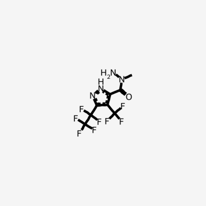 CN(N)C(=O)c1[nH]nc(C(F)(F)C(F)(F)F)c1C(F)(F)F